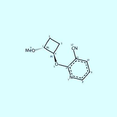 CO[C@@H]1CC[C@H]1Oc1ncccc1C#N